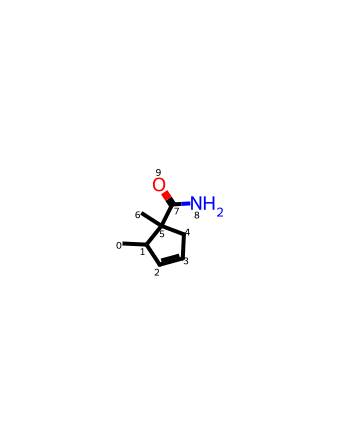 CC1C=CCC1(C)C(N)=O